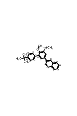 COc1cc(-c2cnc3ccccc3c2)cc(-c2ccc(C(C)(C)C)cc2)c1OC